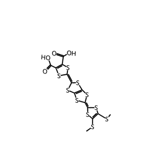 CSC1=C(SC)SC(=C2SC3=C(S2)SC(=C2SC(C(=O)O)=C(C(=O)O)S2)S3)S1